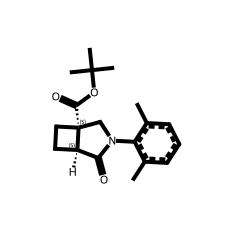 Cc1cccc(C)c1N1C[C@]2(C(=O)OC(C)(C)C)CC[C@@H]2C1=O